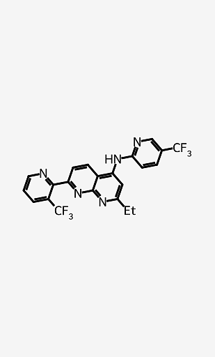 CCc1cc(Nc2ccc(C(F)(F)F)cn2)c2ccc(-c3ncccc3C(F)(F)F)nc2n1